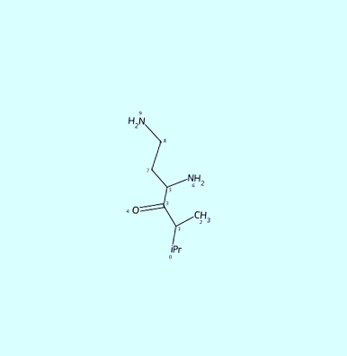 CC(C)C(C)C(=O)C(N)CCN